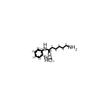 Cl.Cl.NCCCCCC(=O)Nc1ccccc1